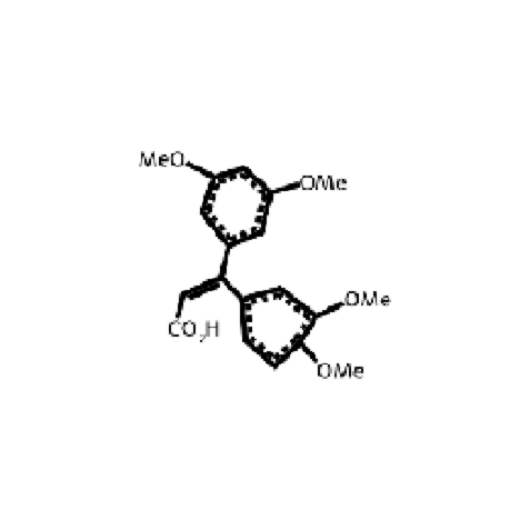 COc1cc(OC)cc(C(=CC(=O)O)c2ccc(OC)c(OC)c2)c1